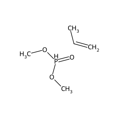 C=CC.CO[PH](=O)OC